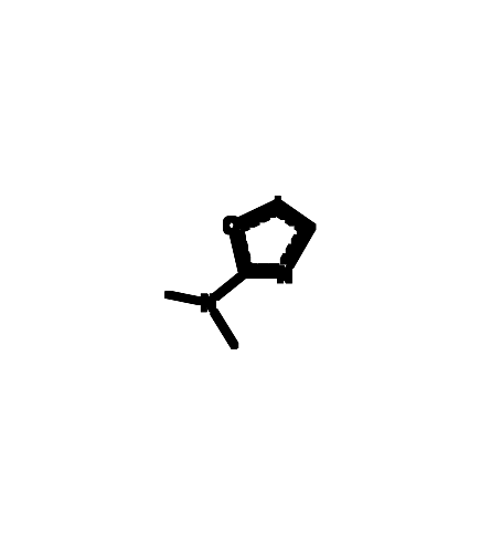 CN(C)c1nc[c]o1